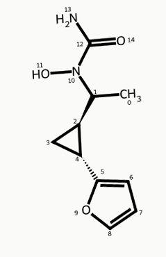 CC([C@@H]1C[C@H]1c1ccco1)N(O)C(N)=O